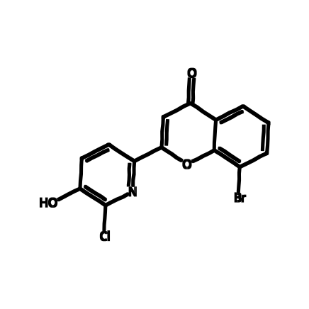 O=c1cc(-c2ccc(O)c(Cl)n2)oc2c(Br)cccc12